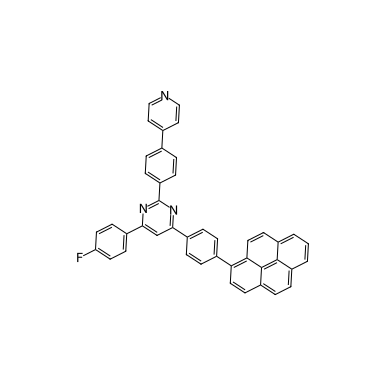 Fc1ccc(-c2cc(-c3ccc(-c4ccc5ccc6cccc7ccc4c5c67)cc3)nc(-c3ccc(-c4ccncc4)cc3)n2)cc1